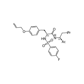 C=CCOc1ccc(C[C@H](NS(=O)(=O)c2ccc(F)cc2)C(=O)N[C@@H](CC(C)C)C(C)=O)cc1